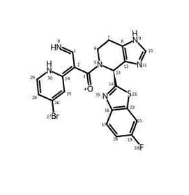 N=C/C(C(=O)N1CCc2[nH]cnc2[C@H]1c1nc2ccc(F)cc2s1)=C1/C=C(Br)C=CN1